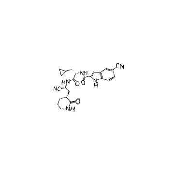 N#Cc1ccc2[nH]c(C(=O)N[C@@H](CC3CC3)C(=O)N[C@H](C#N)C[C@@H]3CCCNC3=O)cc2c1